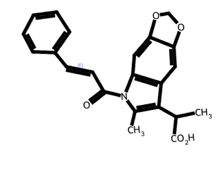 Cc1c(C(C)C(=O)O)c2cc3c(cc2n1C(=O)/C=C/c1ccccc1)OCO3